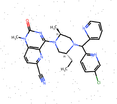 CC[C@@H]1CN(c2nc(=O)n(C)c3ccc(C#N)nc23)[C@@H](C)CN1C(c1ccccn1)c1ccc(Cl)cn1